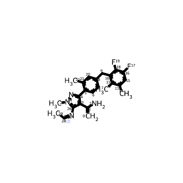 C=C(N)c1c(-c2ccc(Cc3c(C)c(C)cc(F)c3F)cc2C)nn(C)c1/N=C\C